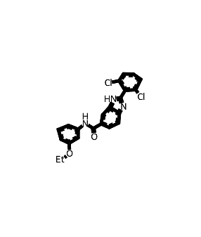 CCOc1cccc(NC(=O)c2ccc3nc(-c4c(Cl)cccc4Cl)[nH]c3c2)c1